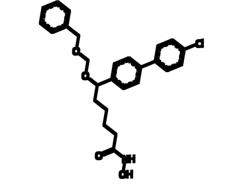 O=C(CCCCC(OCOCc1ccccc1)c1ccc(-c2ccc(Cl)cc2)cc1)NO